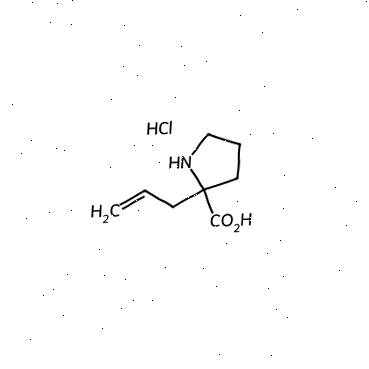 C=CCC1(C(=O)O)CCCN1.Cl